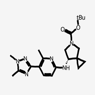 Cc1nc(N[C@@H]2CN(C(=O)OC(C)(C)C)CC23CC3)ccc1-c1nc(C)n(C)n1